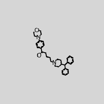 O=C(CCCCN1CCC(C(c2ccccc2)c2ccccc2)CC1)c1ccc(N2CCOCC2)cc1